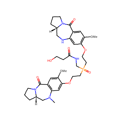 COc1cc2c(cc1OCCP(=O)(CCOc1cc3c(cc1OC)C(=O)N1CCC[C@H]1CN3C)CNC(=O)CCO)NC[C@@H]1CCCN1C2=O